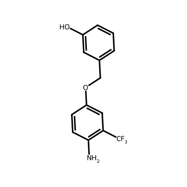 Nc1ccc(OCc2cccc(O)c2)cc1C(F)(F)F